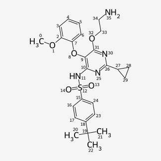 COc1ccccc1Oc1c(NS(=O)(=O)c2ccc(C(C)(C)C)cc2)nc(C2CC2)nc1OCCN